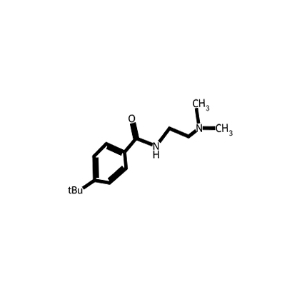 CN(C)CCNC(=O)c1ccc(C(C)(C)C)cc1